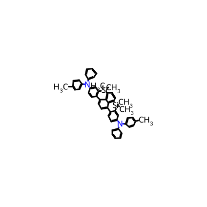 Cc1ccc(N(c2ccccc2)c2ccc3c(c2)[Si](C)(C)c2ccc4c5c(ccc-3c25)-c2ccc(N(c3ccccc3)c3ccc(C)cc3)cc2[Si]4(C)C)cc1